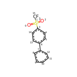 O=S(=O)(c1ccc(-c2ccccc2)cc1)C(F)(F)F